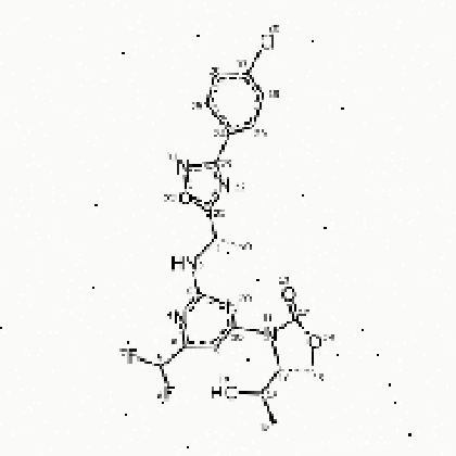 C[C@H](Nc1nc(C(F)F)cc(N2C(=O)OC[C@@H]2[C@@H](C)O)n1)c1nc(-c2ccc(Cl)cc2)no1